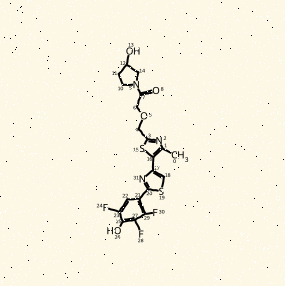 Cc1nc(COCC(=O)N2CCC(O)C2)sc1-c1csc(-c2cc(F)c(O)c(F)c2F)n1